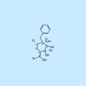 CC(=O)C(O)[C@H]1O[C@H](Cl)[C@@](O)(Cc2ccccc2)[C@](O)(C(C)=O)[C@]1(O)C(C)=O